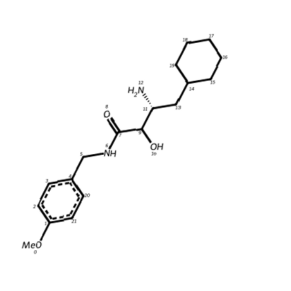 COc1ccc(CNC(=O)C(O)[C@H](N)CC2CCCCC2)cc1